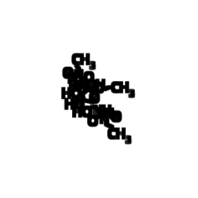 CCCO[C@@H]1O[C@H](C(O)NC(=O)N(CCC)N=O)[C@@H](O)[C@H](O)[C@]1(O)NC(=O)N(CCC)N=O